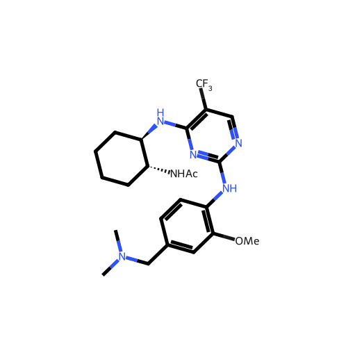 COc1cc(CN(C)C)ccc1Nc1ncc(C(F)(F)F)c(N[C@@H]2CCCC[C@H]2NC(C)=O)n1